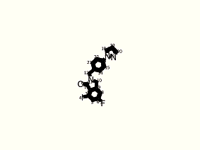 O=C1c2c(I)cc(F)cc2CN1Cc1ccc(-n2cccn2)cc1